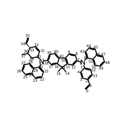 C=Cc1ccc(N(c2ccc3c(c2)C(C)(C)c2cc(N(c4cccc5ccccc45)C4C=C[C@H](C=C)C(C)C4)ccc2-3)c2cccc3ccccc23)cc1